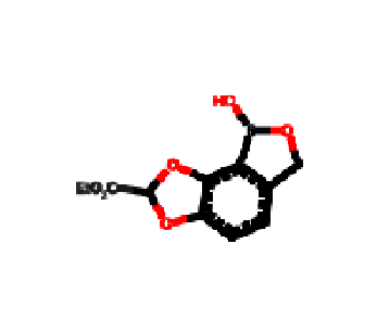 CCOC(=O)C1Oc2ccc3c(c2O1)B(O)OC3